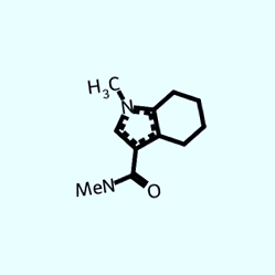 CNC(=O)c1cn(C)c2c1CCCC2